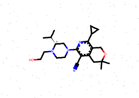 CC(C)[C@@H]1CN(c2nc(C3CC3)c3c(c2C#N)CC(C)(C)OC3)CCN1CCO